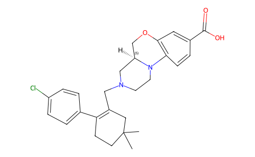 CC1(C)CCC(c2ccc(Cl)cc2)=C(CN2CCN3c4ccc(C(=O)O)cc4OC[C@@H]3C2)C1